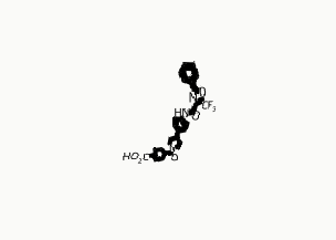 O=C(Nc1ccc(C2CCN(C(=O)C3CCC(C(=O)O)CC3)CC2)cc1)c1nc(-c2ccccc2)oc1C(F)(F)F